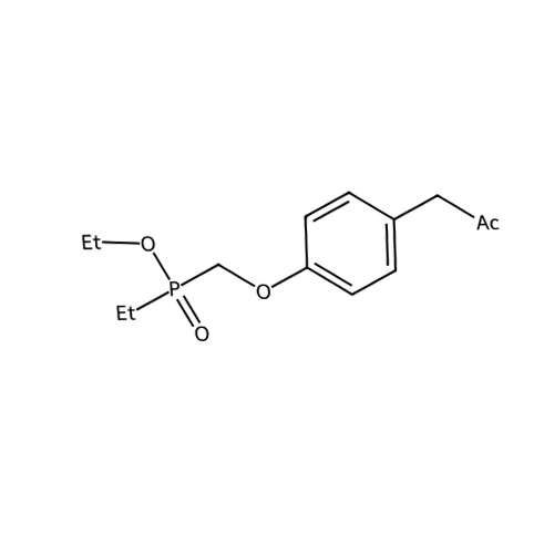 CCOP(=O)(CC)COc1ccc(CC(C)=O)cc1